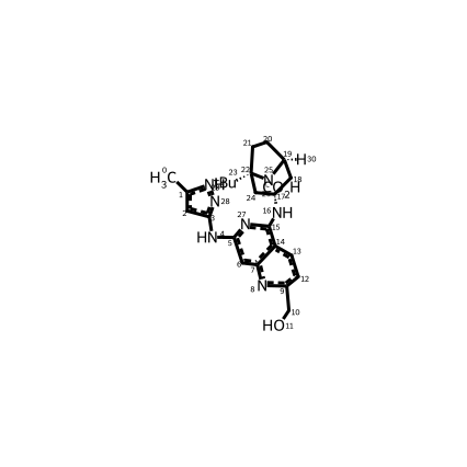 Cc1cc(Nc2cc3nc(CO)ccc3c(N[C@H]3C[C@@H]4CC[C@](C(C)(C)C)(C3)N4C(=O)O)n2)n[nH]1